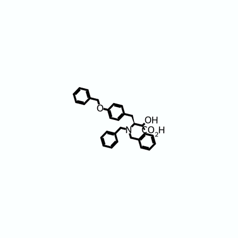 O=C(O)[C@H](O)[C@H](Cc1ccc(OCc2ccccc2)cc1)N(Cc1ccccc1)Cc1ccccc1